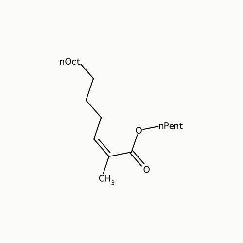 CCCCCCCCCCCC=C(C)C(=O)OCCCCC